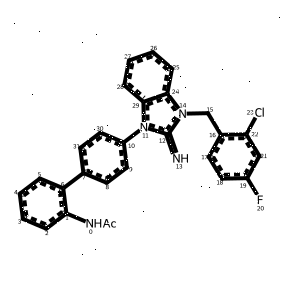 CC(=O)Nc1ccccc1-c1ccc(-n2c(=N)n(Cc3ccc(F)cc3Cl)c3ccccc32)cc1